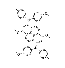 COc1ccc(N(C2=CC(OC)c3ccc4c5c(ccc2c35)C(OC)C=C4N(c2ccc(C)cc2)c2ccc(OC)cc2)c2ccc(C)cc2)cc1